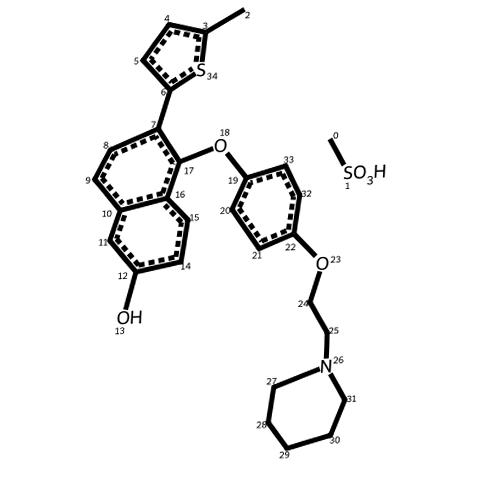 CS(=O)(=O)O.Cc1ccc(-c2ccc3cc(O)ccc3c2Oc2ccc(OCCN3CCCCC3)cc2)s1